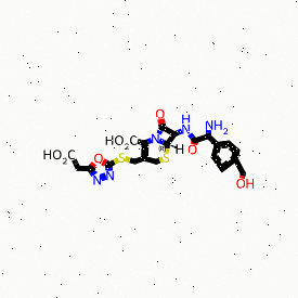 NC(C(=O)NC1C(=O)N2C(C(=O)O)=C(CSc3nnc(CC(=O)O)o3)CS[C@H]12)c1ccc(CO)cc1